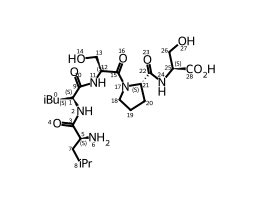 CC[C@H](C)[C@H](NC(=O)[C@@H](N)CC(C)C)C(=O)N[C@@H](CO)C(=O)N1CCC[C@H]1C(=O)N[C@@H](CO)C(=O)O